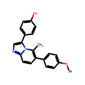 Cc1c(-c2ccc(OC(C)C)cc2)ccc2ncc(-c3ccc(O)cc3)n12